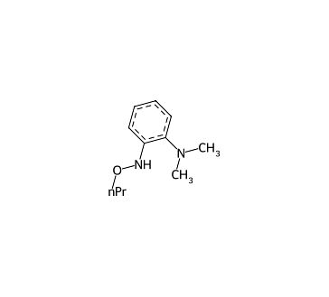 CCCONc1ccccc1N(C)C